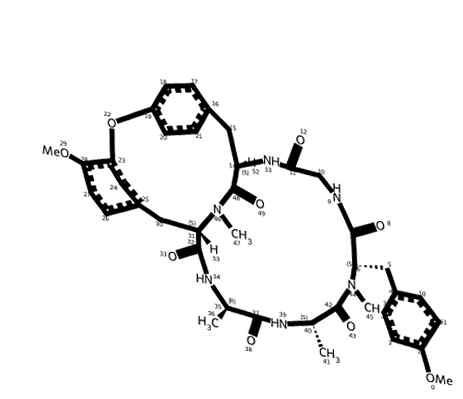 COc1ccc(C[C@H]2C(=O)NCC(=O)N[C@H]3Cc4ccc(cc4)Oc4cc(ccc4OC)C[C@@H](C(=O)N[C@H](C)C(=O)N[C@@H](C)C(=O)N2C)N(C)C3=O)cc1